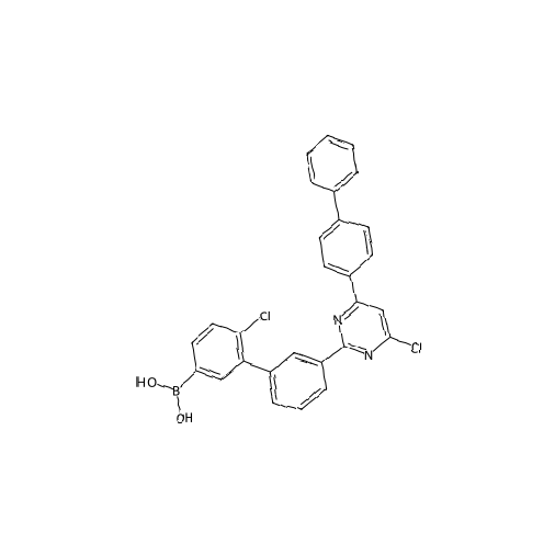 OB(O)c1ccc(Cl)c(-c2cccc(-c3nc(Cl)cc(-c4ccc(-c5ccccc5)cc4)n3)c2)c1